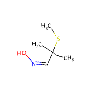 CSC(C)(C)/C=N\O